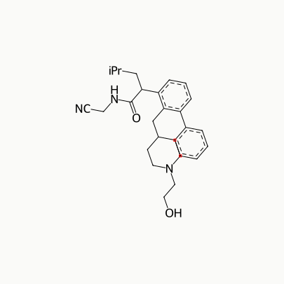 CC(C)CC(C(=O)NCC#N)c1cccc(-c2ccccc2)c1CC1CCN(CCO)CC1